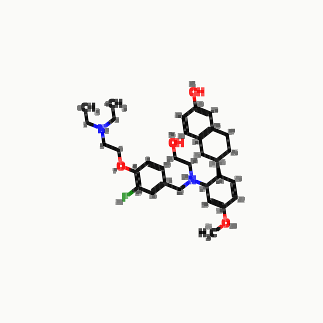 CCN(CC)CCOc1ccc(CN(CCO)C2C=C(OC)C=CC2[C@@H]2CCc3cc(O)ccc3C2)cc1F